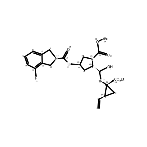 C=C[C@@H]1C[C@]1(NC(O)[C@@H]1C[C@@H](OC(=O)N2Cc3cccc(F)c3C2)CN1C(=O)OC(C)(C)C)C(=O)OCC